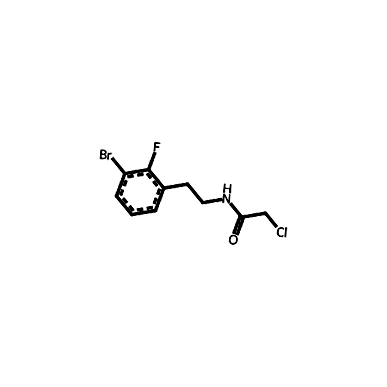 O=C(CCl)NCCc1cccc(Br)c1F